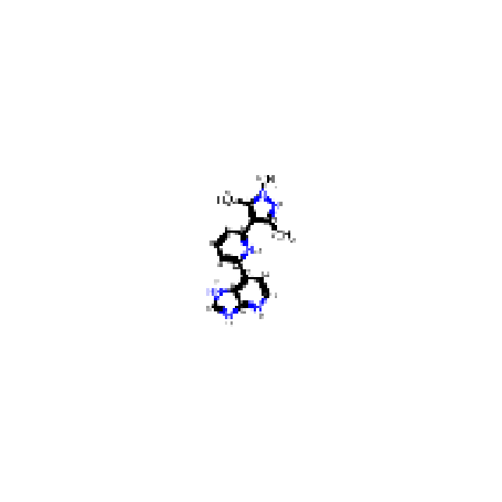 Cc1nn(C)c(C)c1-c1cccc(-c2ccnc3nc[nH]c23)n1